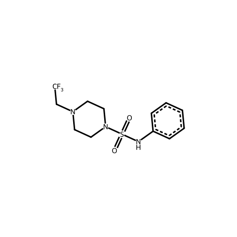 O=S(=O)(Nc1ccccc1)N1CCN(CC(F)(F)F)CC1